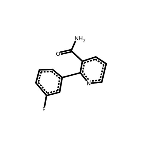 NC(=O)c1cccnc1-c1cccc(F)c1